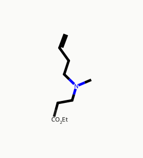 C=CCCN(C)CCC(=O)OCC